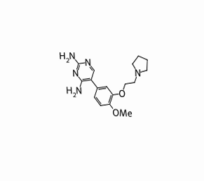 COc1ccc(-c2cnc(N)nc2N)cc1OCCN1CCCC1